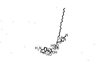 CCCCCCCCCCCCCCCCCCOC[C@H](COP(=O)(O)OC[C@H]1O[C@@](C)(c2ccc3c(N)ncnn23)[C@H](O)[C@@H]1O)Oc1cnc(C#N)nc1